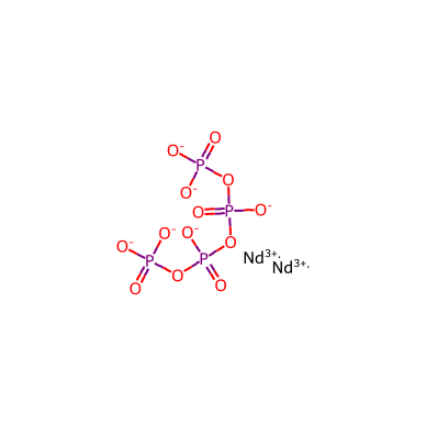 O=P([O-])([O-])OP(=O)([O-])OP(=O)([O-])OP(=O)([O-])[O-].[Nd+3].[Nd+3]